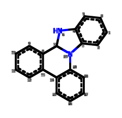 c1ccc2c(c1)NC1c3ccccc3-c3ccccc3N21